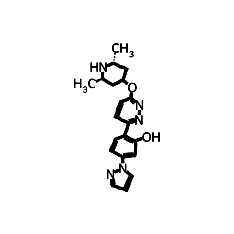 C[C@@H]1CC(Oc2ccc(-c3ccc(-n4cccn4)cc3O)nn2)C[C@@H](C)N1